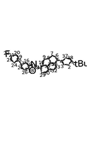 CC(C)(C)c1ccc(-c2ccc3ccc4c(-c5nc6cc(-c7ccc(F)cc7)ccc6o5)ccc5ccc2c3c54)cc1